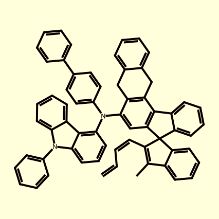 C=C/C=C\C1=C(C)c2ccccc2C12c1ccccc1-c1c2cc(N(c2ccc(-c3ccccc3)cc2)c2cccc3c2c2ccccc2n3-c2ccccc2)c2c1Cc1ccccc1C2